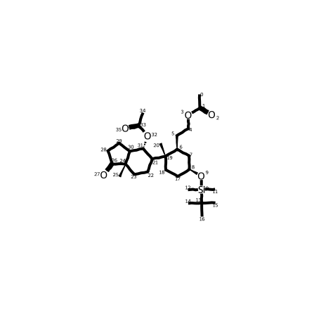 CC(=O)OCC[C@H]1C[C@@H](O[Si](C)(C)C(C)(C)C)CC[C@]1(C)C1CC[C@]2(C)C(=O)CCC2[C@@H]1OC(C)=O